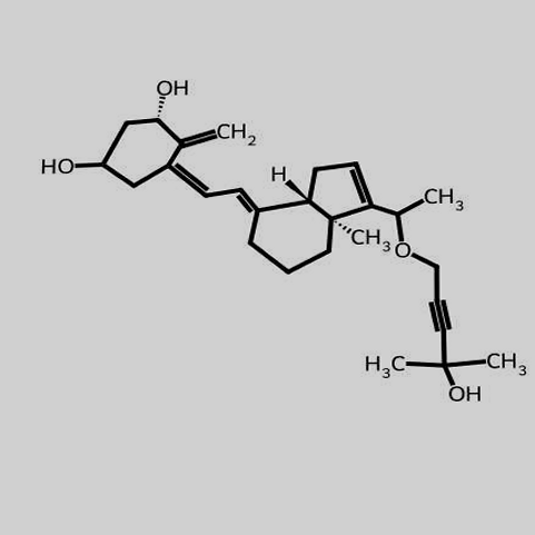 C=C1/C(=C\C=C2/CCC[C@]3(C)C(C(C)OCC#CC(C)(C)O)=CC[C@@H]23)CC(O)C[C@@H]1O